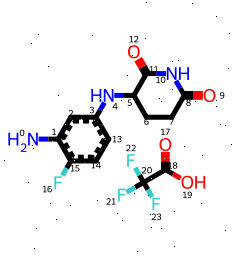 Nc1cc(NC2CCC(=O)NC2=O)ccc1F.O=C(O)C(F)(F)F